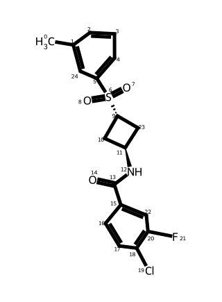 Cc1cccc(S(=O)(=O)[C@H]2C[C@H](NC(=O)c3ccc(Cl)c(F)c3)C2)c1